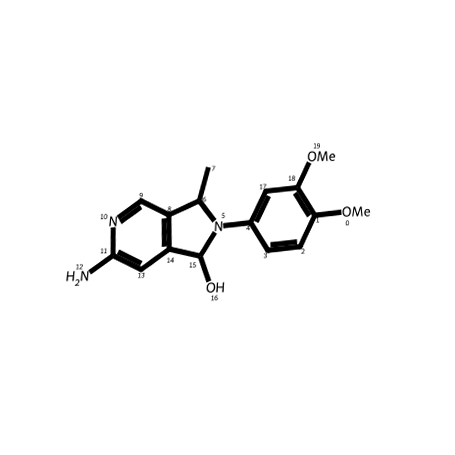 COc1ccc(N2C(C)c3cnc(N)cc3C2O)cc1OC